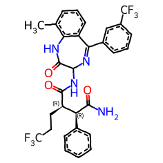 Cc1cccc2c1NC(=O)C(NC(=O)[C@H](CCC(F)(F)F)[C@@H](C(N)=O)c1ccccc1)N=C2c1cccc(C(F)(F)F)c1